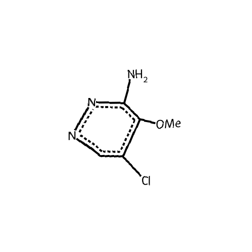 COc1c(Cl)cnnc1N